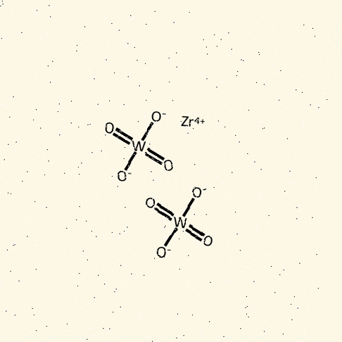 [O]=[W](=[O])([O-])[O-].[O]=[W](=[O])([O-])[O-].[Zr+4]